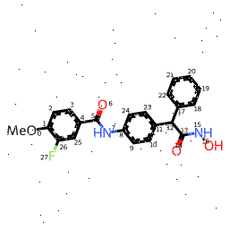 COc1ccc(C(=O)Nc2ccc(C(C(=O)NO)c3ccccc3)cc2)cc1F